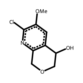 COc1cc2c(nc1Cl)COCC2O